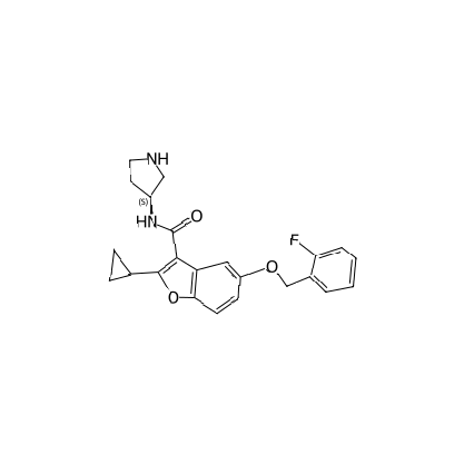 O=C(N[C@H]1CCNC1)c1c(C2CC2)oc2ccc(OCc3ccccc3F)cc12